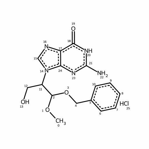 COC(OCc1ccccc1)C(CO)n1cnc2c(=O)[nH]c(N)nc21.Cl